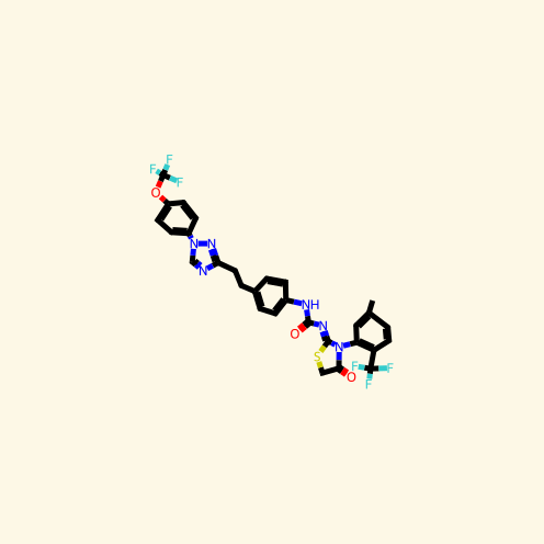 Cc1ccc(C(F)(F)F)c(N2C(=O)CSC2=NC(=O)Nc2ccc(CCc3ncn(-c4ccc(OC(F)(F)F)cc4)n3)cc2)c1